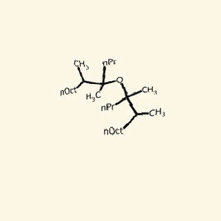 CCCCCCCCC(C)C(C)(CCC)OC(C)(CCC)C(C)CCCCCCCC